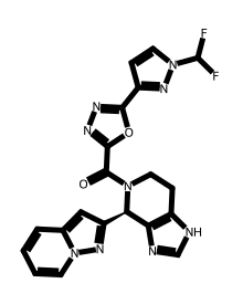 O=C(c1nnc(-c2ccn(C(F)F)n2)o1)N1CCc2[nH]cnc2[C@H]1c1cc2ccccn2n1